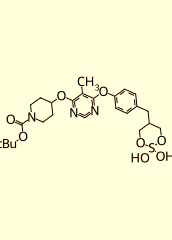 Cc1c(Oc2ccc(CC3COS(O)(O)OC3)cc2)ncnc1OC1CCN(C(=O)OC(C)(C)C)CC1